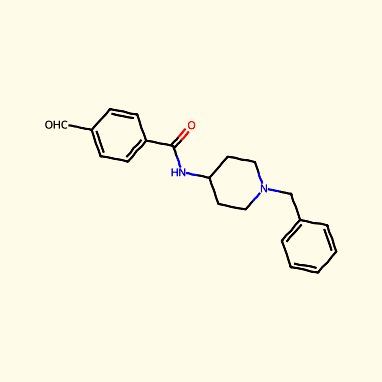 O=Cc1ccc(C(=O)NC2CCN(Cc3ccccc3)CC2)cc1